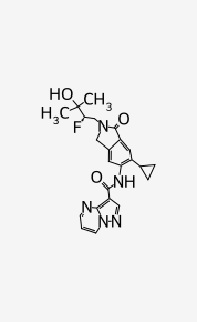 CC(C)(O)[C@H](F)CN1Cc2cc(NC(=O)c3cnn4cccnc34)c(C3CC3)cc2C1=O